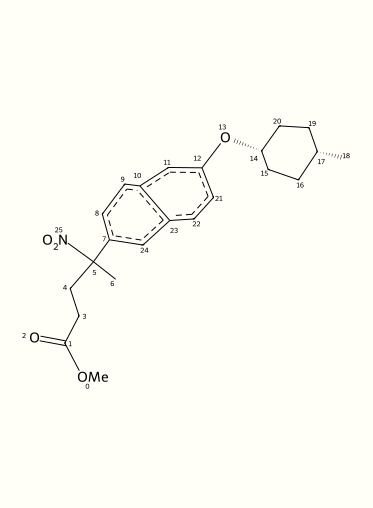 COC(=O)CCC(C)(c1ccc2cc(O[C@H]3CC[C@@H](C)CC3)ccc2c1)[N+](=O)[O-]